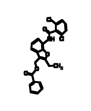 CCc1oc2c(NC(=O)c3c(Cl)cccc3Cl)cccc2c1COC(=O)c1ccccc1